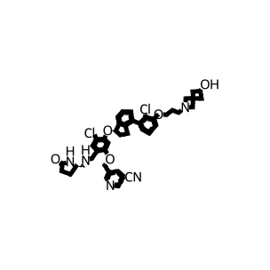 N#Cc1cncc(COc2cc(O[C@H]3CCc4c(-c5cccc(OCCCN6CC7(CC(O)C7)C6)c5Cl)cccc43)c(Cl)cc2CNC[C@@H]2CCC(=O)N2)c1